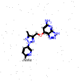 CNc1ccc(-n2nc(C)c(COc3cc(N)nc4[nH]nnc34)n2)cn1